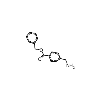 NCc1ccc(C(=O)OCc2ccccc2)cc1